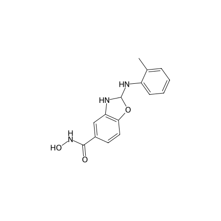 Cc1ccccc1NC1Nc2cc(C(=O)NO)ccc2O1